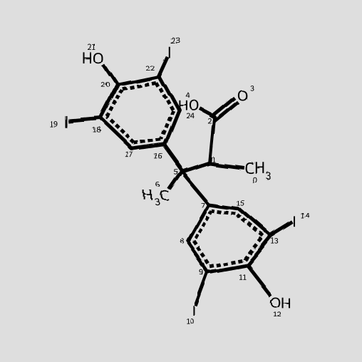 CC(C(=O)O)C(C)(c1cc(I)c(O)c(I)c1)c1cc(I)c(O)c(I)c1